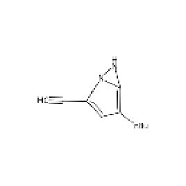 C#Cc1cc(CCCC)c2n1N2